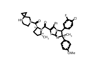 COc1ccc([C@]2(C)N=C3SC(C(=O)N4[C@H](C)CC[C@H]4C(=O)N4CCNC5(CC5)C4)=C(C(C)C)N3C2c2ccc(Cl)c(F)c2)cc1